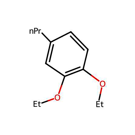 [CH2]CCc1ccc(OCC)c(OCC)c1